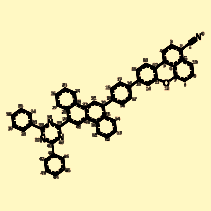 N#Cc1ccc2c3c(cccc13)Oc1cc(-c3ccc(-c4cc5c6ccccc6c(-c6nc(-c7ccccc7)nc(-c7ccccc7)n6)cc5c5ccccc45)cc3)ccc1-2